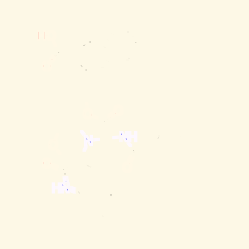 CCOC(=O)C(Cc1cc(=O)[nH]c2ccccc12)(NC(=O)c1ccc(Cl)cc1)N1CCOCC1.O=C(O)c1ccc2ccccc2c1